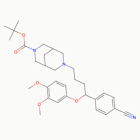 COc1ccc(OC(CCCN2CC3CC(C2)CN(C(=O)OC(C)(C)C)C3)c2ccc(C#N)cc2)cc1OC